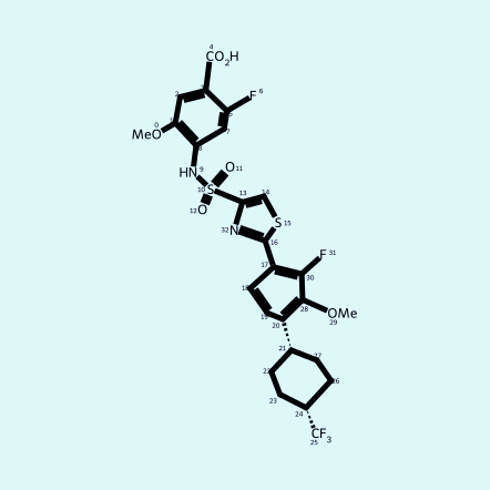 COc1cc(C(=O)O)c(F)cc1NS(=O)(=O)c1csc(-c2ccc([C@H]3CC[C@@H](C(F)(F)F)CC3)c(OC)c2F)n1